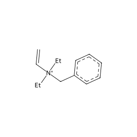 C=C[N+](CC)(CC)Cc1ccccc1